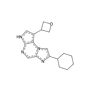 c1[nH]c2ncc3nc(C4CCCCC4)cn3c2c1C1COC1